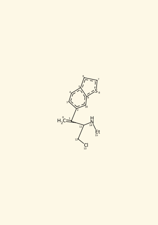 C=C(c1ccc2ccsc2c1)C(CCl)NCC